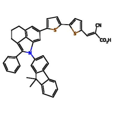 CC1(C)c2ccccc2-c2ccc(-n3c(-c4ccccc4)c4c5c(cc(-c6ccc(-c7ccc(/C=C(\C#N)C(=O)O)s7)s6)cc53)CCC4)cc21